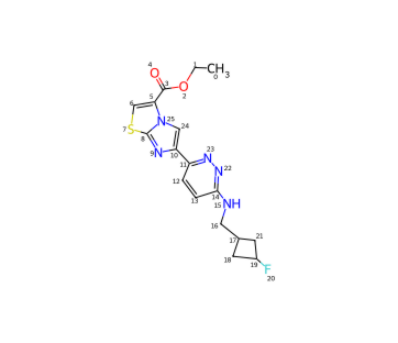 CCOC(=O)c1csc2nc(-c3ccc(NCC4CC(F)C4)nn3)cn12